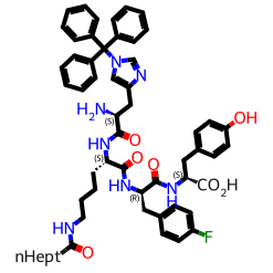 CCCCCCCC(=O)NCCCC[C@H](NC(=O)[C@@H](N)Cc1cn(C(c2ccccc2)(c2ccccc2)c2ccccc2)cn1)C(=O)N[C@H](Cc1ccc(F)cc1)C(=O)N[C@@H](Cc1ccc(O)cc1)C(=O)O